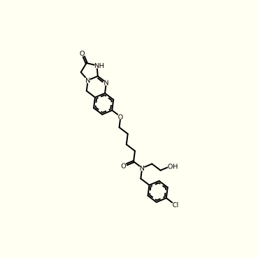 O=C1CN2Cc3ccc(OCCCCC(=O)N(CCO)Cc4ccc(Cl)cc4)cc3N=C2N1